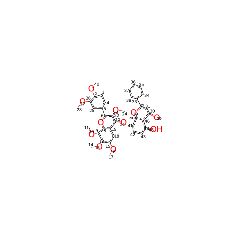 COc1ccc(-c2oc3c(OC)c(OC)c(OC)cc3c(=O)c2OC)cc1OC.O=c1cc(-c2ccccc2)oc2cccc(O)c12